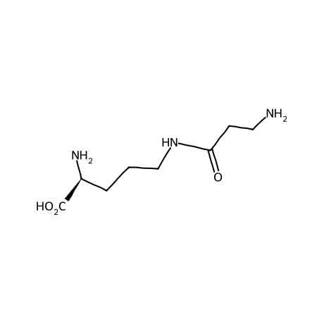 NCCC(=O)NCCC[C@H](N)C(=O)O